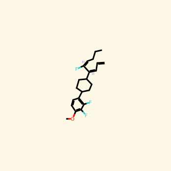 C=C/C=C(\C(F)=C/CCC)C1CCC(c2ccc(OC)c(F)c2F)CC1